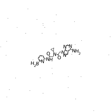 Bc1cccc(NC(=O)CN(C(=O)Cn2ncc3c(N)ncnc32)C2CC2)n1